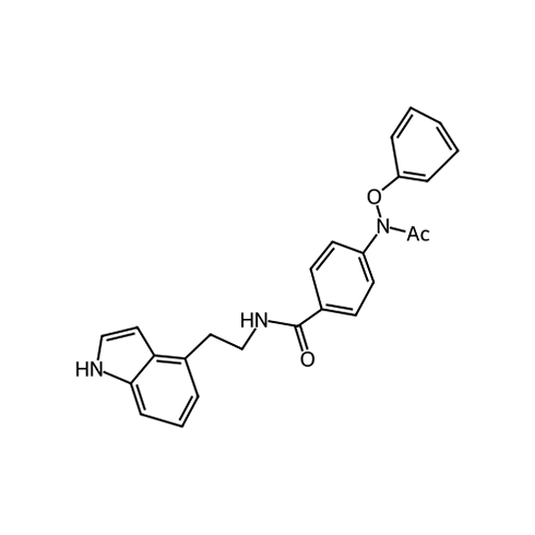 CC(=O)N(Oc1ccccc1)c1ccc(C(=O)NCCc2cccc3[nH]ccc23)cc1